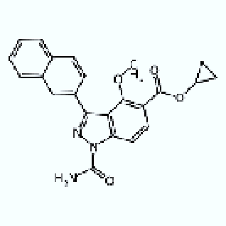 COc1c(C(=O)OC2CC2)ccc2c1c(-c1ccc3ccccc3c1)nn2C(N)=O